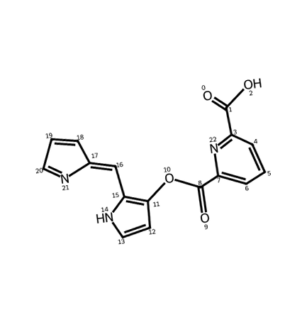 O=C(O)c1cccc(C(=O)Oc2cc[nH]c2/C=C2/C=CC=N2)n1